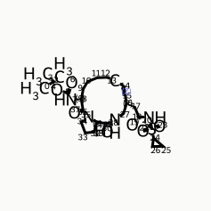 CC(C)(C)OC(=O)N[C@H]1CCCCC/C=C\[C@@H](CC(=O)NS(=O)(=O)C2CC2)CNC(=O)[C@@H]2CCCN2C1=O